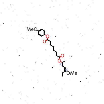 C=C/C(=C\C=C(/C)OC(=O)CCCCCCC(=O)Oc1ccc(OC)cc1)OC